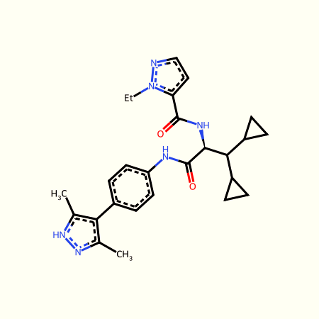 CCn1nccc1C(=O)N[C@H](C(=O)Nc1ccc(-c2c(C)n[nH]c2C)cc1)C(C1CC1)C1CC1